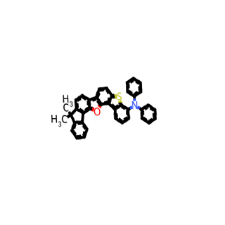 CC1(C)c2ccccc2-c2c1ccc1c2oc2c1ccc1sc3c(N(c4ccccc4)c4ccccc4)cccc3c12